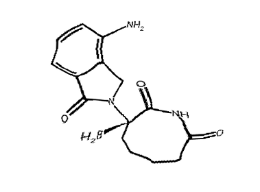 B[C@]1(N2Cc3c(N)cccc3C2=O)CCCC(=O)NC1=O